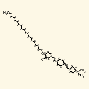 CCCCCCCCCCCCCCCCCCCCOc1ccc(N=Nc2ccc(N=Nc3ccc(N(C)C)cc3)cc2)cc1Cl